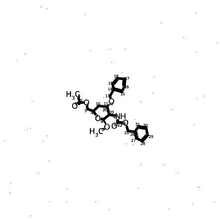 CO[C@H]1OC(COC(C)=O)C[C@@H](OCc2ccccc2)C1NC(=O)OCc1ccccc1